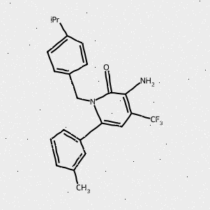 Cc1cccc(-c2cc(C(F)(F)F)c(N)c(=O)n2Cc2ccc(C(C)C)cc2)c1